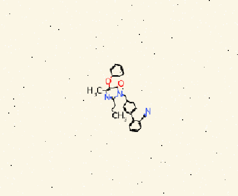 CCCc1nc(C)c(Oc2ccccc2)c(=O)n1Cc1ccc(-c2ccccc2C#N)cc1